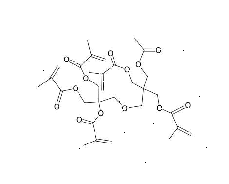 C=C(C)C(=O)OCC(COCC(COC(=O)C(=C)C)(COC(=O)C(=C)C)OC(=O)C(=C)C)(COC(C)=O)COC(=O)C(=C)C